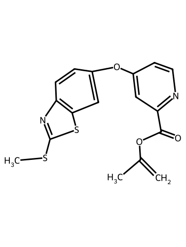 C=C(C)OC(=O)c1cc(Oc2ccc3nc(SC)sc3c2)ccn1